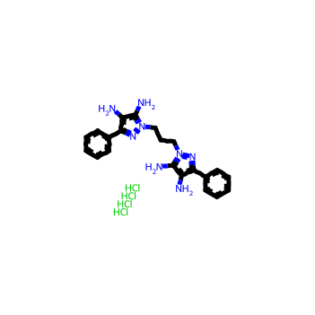 Cl.Cl.Cl.Cl.Nc1c(-c2ccccc2)nn(CCCn2nc(-c3ccccc3)c(N)c2N)c1N